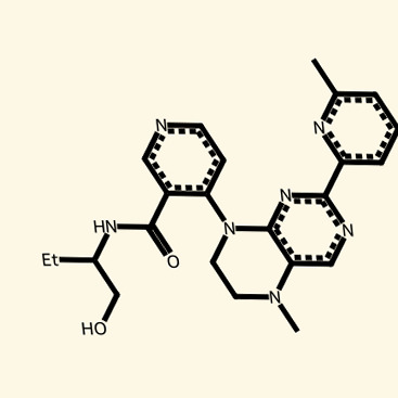 CCC(CO)NC(=O)c1cnccc1N1CCN(C)c2cnc(-c3cccc(C)n3)nc21